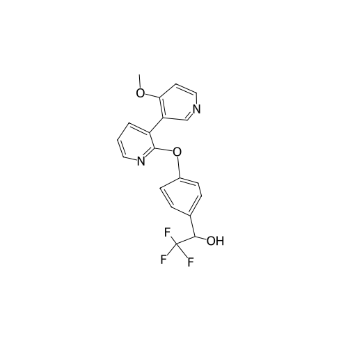 COc1ccncc1-c1cccnc1Oc1ccc(C(O)C(F)(F)F)cc1